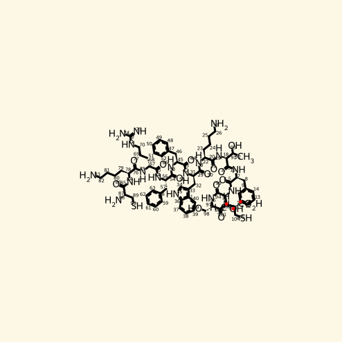 CC(O)[C@H](NC(=O)[C@H](Cc1ccccc1)NC(=O)[C@@H](NC(=O)[C@H](CCCCN)NC(=O)[C@@H](Cc1c[nH]c2ccccc12)NC(=O)[C@H](Cc1ccccc1)NC(=O)[C@H](Cc1ccccc1)NC(=O)[C@@H](CCCNC(=N)N)NC(=O)[C@H](CCCCN)NC(=O)[C@@H](N)CS)C(C)O)C(=O)N[C@@H](CO)C(=O)N[C@@H](CS)C(=O)O